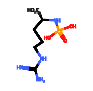 N=C(N)NCCC[C@H](NP(=O)(O)O)C(=O)O